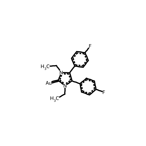 CCn1c(-c2ccc(F)cc2)c(-c2ccc(F)cc2)n(CC)[c]1=[Au]